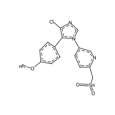 CCCOc1ccc(-c2c(Cl)ncn2-c2ccc(C[SH](=O)=O)nc2)cc1